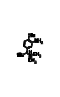 C[SiH](C)C(c1ccc(C(C)(C)C)c(N)c1)C(C)(C)C